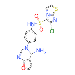 NC1c2ccoc2N=CN1c1ccc(NS(=O)(=O)c2c(Cl)nc3sccn23)cc1